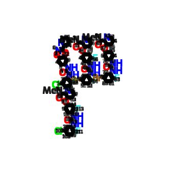 CN(Oc1ccc(NC(=O)Nc2cc(Cl)ccc2F)cc1)C(=O)c1ccccn1.CNC(=O)c1ncccc1Oc1ccc(NC(=O)Nc2cc(Br)ccc2F)c(F)c1.CNC(=O)c1ncccc1Oc1ccc(NC(=O)Nc2cc(Br)ccc2F)cc1.CNC(=O)c1ncccc1Oc1ccc(NC(=O)Nc2cc(Cl)ccc2F)c(F)c1